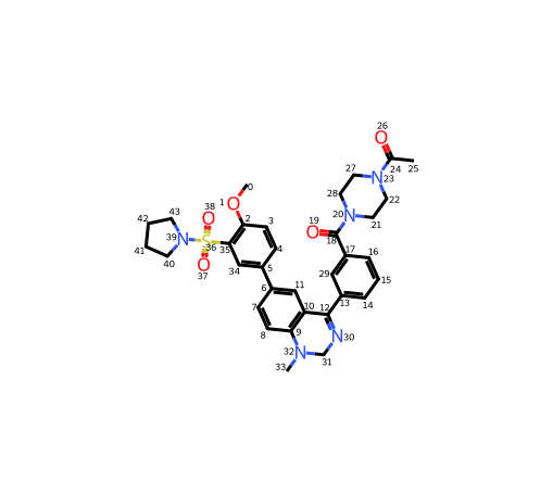 COc1ccc(-c2ccc3c(c2)C(c2cccc(C(=O)N4CCN(C(C)=O)CC4)c2)=NCN3C)cc1S(=O)(=O)N1CCCC1